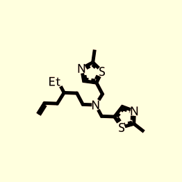 C=CCC(CC)CCN(Cc1cnc(C)s1)Cc1cnc(C)s1